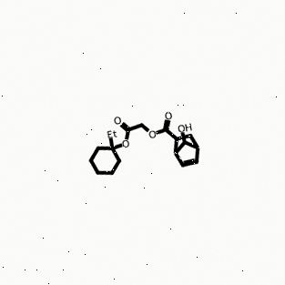 CCC1(OC(=O)COC(=O)C2CC3C=CC2C3O)CCCCC1